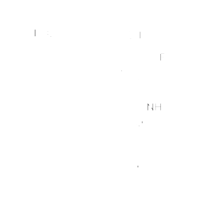 CCCCC1C(NOC=O)C1(C)F